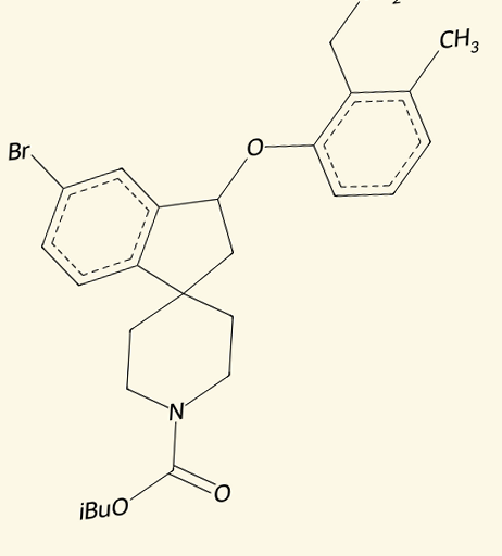 CCOC(=O)Cc1c(C)cccc1OC1CC2(CCN(C(=O)OCC(C)C)CC2)c2ccc(Br)cc21